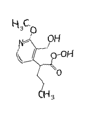 CCCC(C(=O)OO)c1ccnc(OC)c1CO